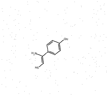 N/C(=C\S)c1ccc(O)cc1